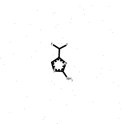 Nc1nc(C(F)F)cs1